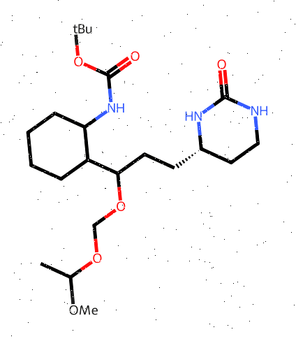 COC(C)OCOC(CC[C@H]1CCNC(=O)N1)C1CCCCC1NC(=O)OC(C)(C)C